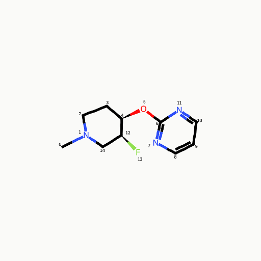 CN1CC[C@@H](Oc2ncccn2)[C@@H](F)C1